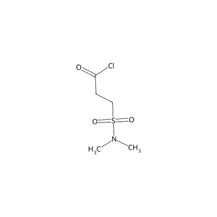 CN(C)S(=O)(=O)CCC(=O)Cl